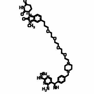 CCCCNc1ncc(C(=N)c2ccc(CN3CCN(CCOCCOCCOCCOCCCc4ccc5c(c4)n(C)c(=O)n5[C@H]4CCC(=O)NC4=O)CC3)cc2)c(N)n1